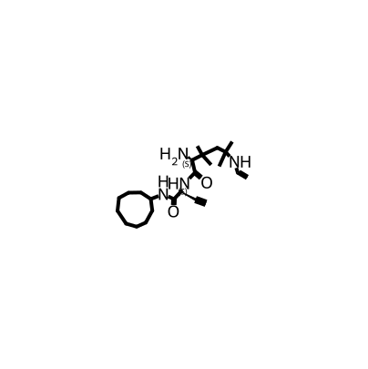 C#C[C@H](NC(=O)[C@@H](N)C(C)(C)CC(C)(C)NC=C)C(=O)NC1CCCCCCCC1